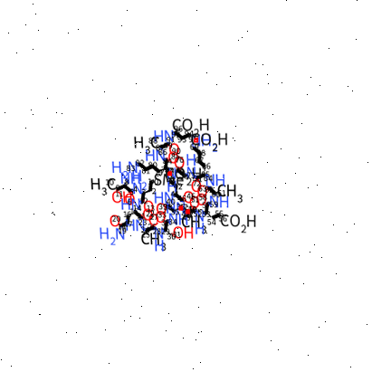 CSCC[C@H](NC(=O)[C@@H](N)[C@@H](C)O)C(=O)N[C@@H](CCC(N)=O)C(=O)N[C@@H](C)C(=O)N[C@@H](CO)C(=O)N[C@@H](CC(C)C)C(=O)N[C@@H](CCC(=O)O)C(=O)N[C@@H](C)C(=O)N[C@@H](CCC(=O)O)C(=O)N[C@@H](C)C(=O)N[C@@H](CCCCN)C(=O)NCC(=O)N[C@@H](CCCCN)C(=O)N[C@@H](C)C(=O)N[C@@H](CCC(=O)O)C(=O)O